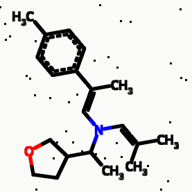 CC(C)=CN(/C=C(\C)c1ccc(C)cc1)C(C)C1CCOC1